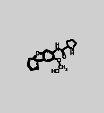 COc1cc2c(cc1NC(=O)C1CCCN1)oc1ccccc12.Cl